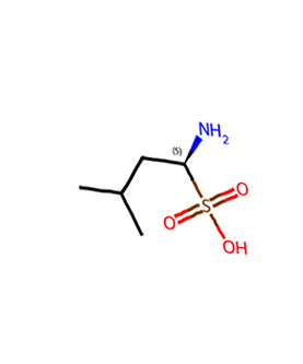 CC(C)C[C@@H](N)S(=O)(=O)O